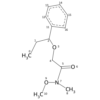 CCC(OCC(=O)N(C)OC)c1ccccc1